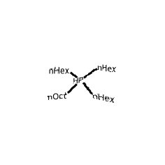 CCCCCCCC[PH](CCCCCC)(CCCCCC)CCCCCC